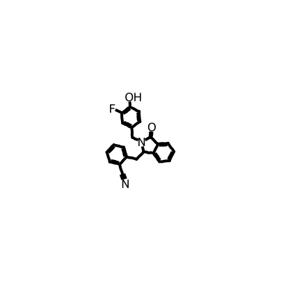 N#Cc1ccccc1CC1c2ccccc2C(=O)N1Cc1ccc(O)c(F)c1